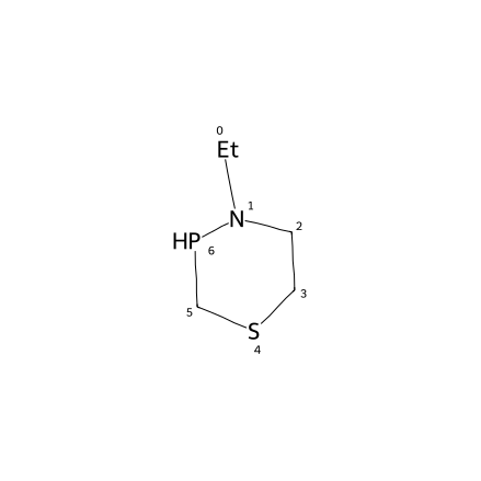 CCN1CCSCP1